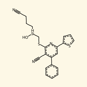 N#CCCC[SiH](O)CSc1nc(-c2cccs2)cc(-c2ccccc2)c1C#N